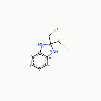 FCC1(CF)Nc2ccccc2N1